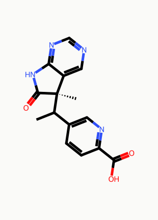 CC(c1ccc(C(=O)O)nc1)[C@@]1(C)C(=O)Nc2ncncc21